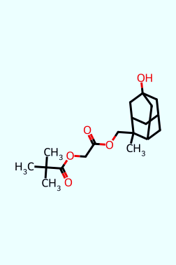 CC(C)(C)C(=O)OCC(=O)OCC1(C)C2CC3CC1CC(O)(C3)C2